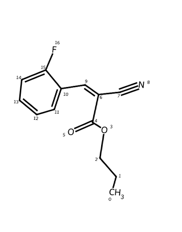 CCCOC(=O)C(C#N)=Cc1ccccc1F